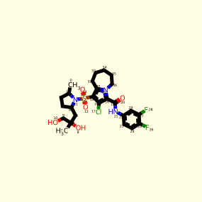 CC1CCC(CC(C)(O)CO)N1S(=O)(=O)c1c(Cl)c(C(=O)Nc2ccc(F)c(F)c2)n2c1CCCCC2